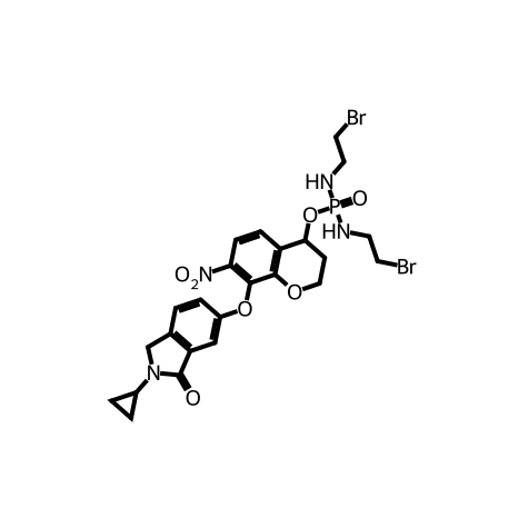 O=C1c2cc(Oc3c([N+](=O)[O-])ccc4c3OCCC4OP(=O)(NCCBr)NCCBr)ccc2CN1C1CC1